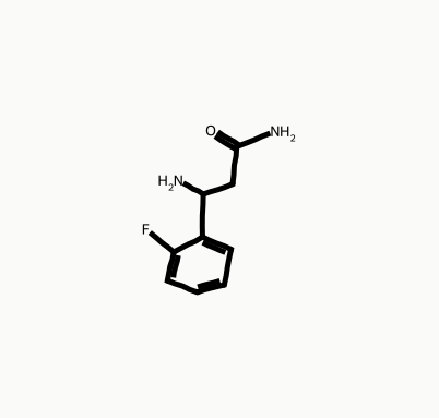 NC(=O)CC(N)c1ccccc1F